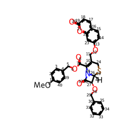 COc1ccc(COC(=O)C2=C(COc3ccc4ccc(=O)oc4c3)CS[C@@H]3[C@@H](OCc4ccccc4)C(=O)N23)cc1